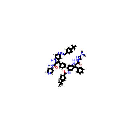 CC(C)(C)c1ccc(CNc2ccc3[nH]c(C(=O)Nc4ccncc4)c(-c4ccccc4)c3c2)cc1.CN(C)CCNC(=O)c1[nH]c2ccc(NC(=O)c3ccc(C(C)(C)C)cc3)cc2c1-c1ccccc1